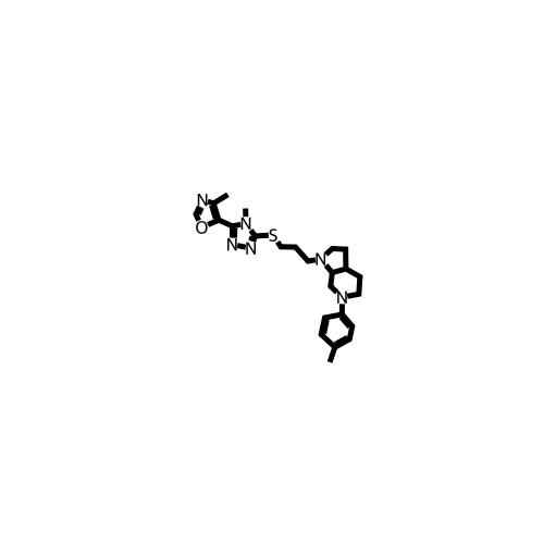 Cc1ccc(N2CCC3CCN(CCCSc4nnc(-c5ocnc5C)n4C)C3C2)cc1